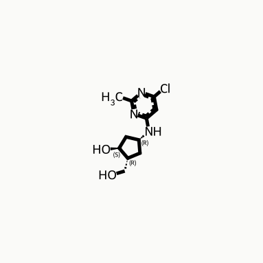 Cc1nc(Cl)cc(N[C@@H]2C[C@H](CO)[C@@H](O)C2)n1